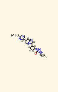 COc1cnc(-c2ccn3c(-c4cccc(NC(=O)NCC(F)(F)F)c4)cnc3c2)cn1